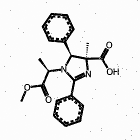 COC(=O)[C@@H](C)N1C(c2ccccc2)=N[C@](C)(C(=O)O)[C@@H]1c1ccccc1